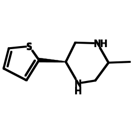 CC1CN[C@@H](c2cccs2)CN1